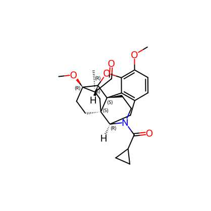 COc1ccc2c3c1O[C@H]1[C@@]4(OC)CC[C@@]5(C[C@]4(C)C=O)[C@@H](C2)N(C(=O)C2CC2)CC[C@]315